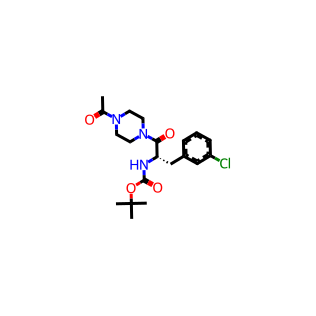 CC(=O)N1CCN(C(=O)[C@H](Cc2cccc(Cl)c2)NC(=O)OC(C)(C)C)CC1